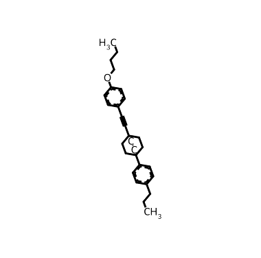 CCCCOc1ccc(C#CC23CCC(c4ccc(CCC)cc4)(CC2)CC3)cc1